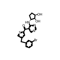 O=C(c1cc(Cc2cccc(Br)c2)cs1)c1cncnc1N[C@@H]1C[CH][C@@H](O)[C@H]1O